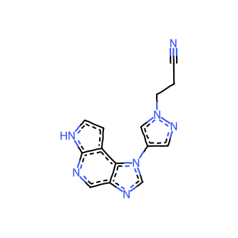 N#CCCn1cc(-n2cnc3cnc4[nH]ccc4c32)cn1